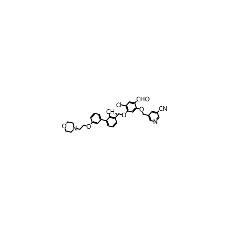 Cc1c(COc2cc(OCc3cncc(C#N)c3)c(C=O)cc2Cl)cccc1-c1cccc(OCCN2CCOCC2)c1